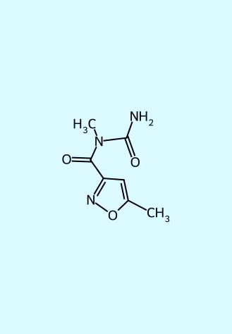 Cc1cc(C(=O)N(C)C(N)=O)no1